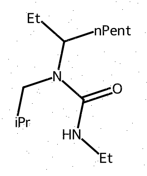 CCCCCC(CC)N(CC(C)C)C(=O)NCC